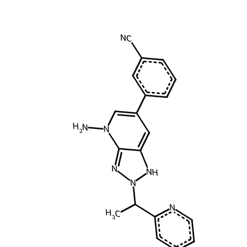 CC(c1ccccn1)N1N=C2C(=CC(c3cccc(C#N)c3)=CN2N)N1